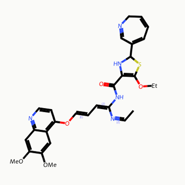 C\C=N/C(=C\C=C\Oc1ccnc2cc(OC)c(OC)cc12)NC(=O)C1=C(OCC)SC(C2=CC=CCN=C2)N1